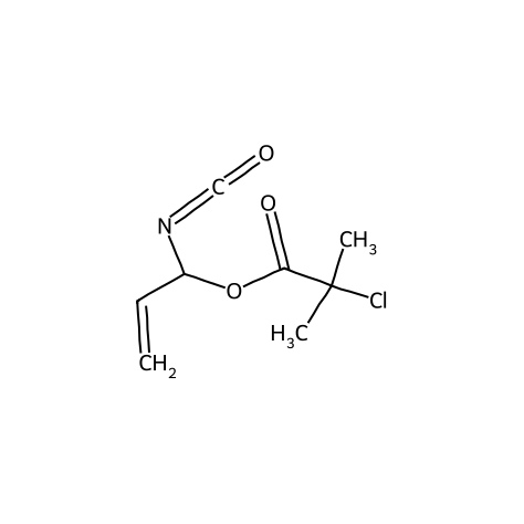 C=CC(N=C=O)OC(=O)C(C)(C)Cl